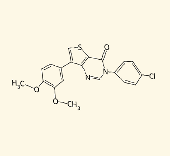 COc1ccc(-c2csc3c(=O)n(-c4ccc(Cl)cc4)cnc23)cc1OC